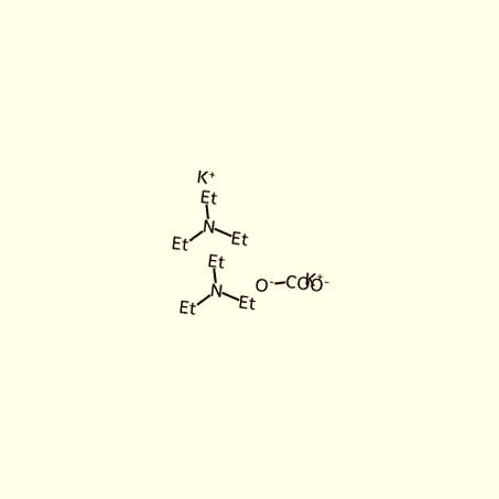 CCN(CC)CC.CCN(CC)CC.O=C([O-])[O-].[K+].[K+]